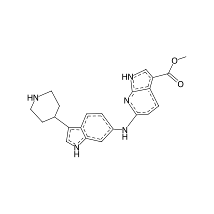 COC(=O)c1c[nH]c2nc(Nc3ccc4c(C5CCNCC5)c[nH]c4c3)ccc12